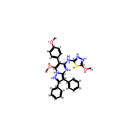 COc1ccc(-c2c(Nc3nnc(OC)s3)nc3c(-c4ccccc4)c(-c4ccccc4)nn3c2OC)cc1